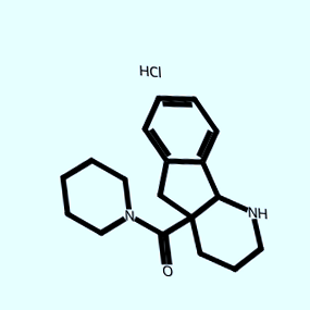 Cl.O=C(N1CCCCC1)C12CCCNC1c1ccccc1C2